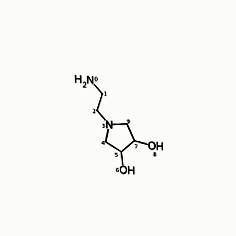 NCCN1CC(O)C(O)C1